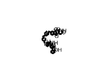 O=C1CCC(N2C(=O)c3ccc(CN4CCC(CN5CCC(CN6CCN7c8cc(-c9ccccc9O)nnc8NC[C@H]7C6)CC5)CC4)cc3C2=O)C(=O)N1